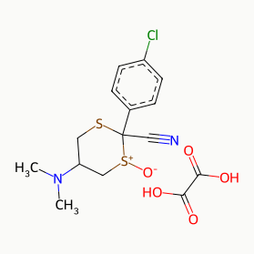 CN(C)C1CSC(C#N)(c2ccc(Cl)cc2)[S+]([O-])C1.O=C(O)C(=O)O